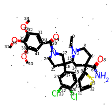 CCN1CCC(C(N)=O)(c2cccs2)CC1C1(c2ccc(Cl)c(Cl)c2)CCN(C(=O)c2cc(OC)c(OC)c(OC)c2)C1